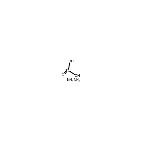 N.N.O=[Te](O)O